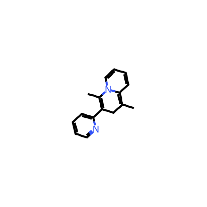 CC1=C2C=CC=CN2C(C)=C(c2ccccn2)C1